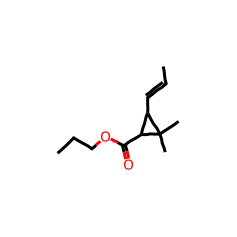 CC=CC1C(C(=O)OCCC)C1(C)C